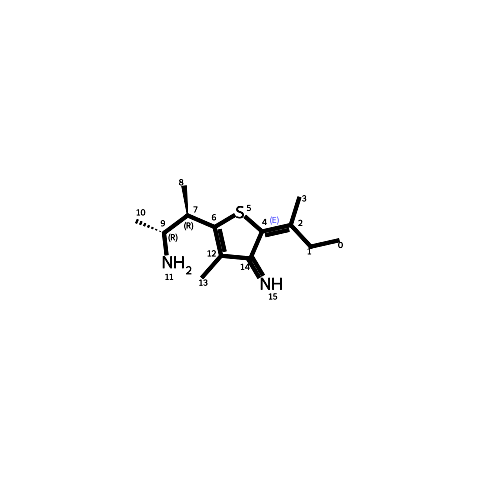 CC/C(C)=C1/SC([C@H](C)[C@@H](C)N)=C(C)C1=N